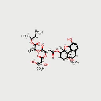 CC[C@]12c3c4ccc(O)c3O[C@H]1C(OC(=O)C[C@H](OC(=O)[C@H](O)[C@@H](O)C(=O)O)C(=O)O[C@@H](C)C(=O)O[C@H](CC(=O)O)C(=O)O)=CC[C@@]2(O)[C@H](NC)C4